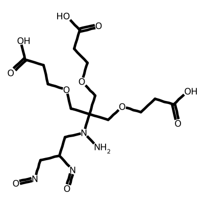 NN(CC(CN=O)N=O)C(COCCC(=O)O)(COCCC(=O)O)COCCC(=O)O